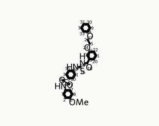 COc1ccc(NS(=O)(=O)c2ccc(NC(=S)NC(=O)c3cccc(OCCOc4ccccc4)c3)cc2)cc1